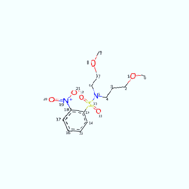 COCCCN(CCOC)S(=O)(=O)c1ccccc1[N+](=O)[O-]